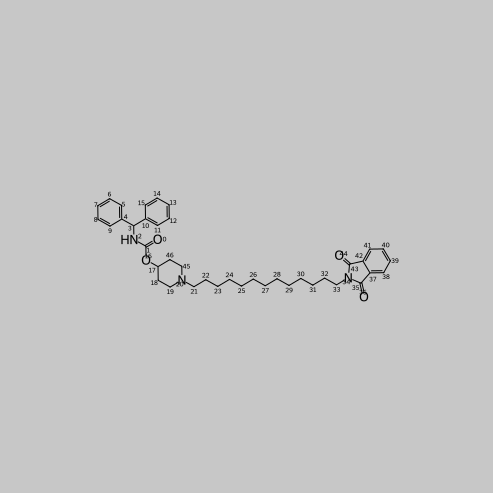 O=C(NC(c1ccccc1)c1ccccc1)OC1CCN(CCCCCCCCCCCCCN2C(=O)c3ccccc3C2=O)CC1